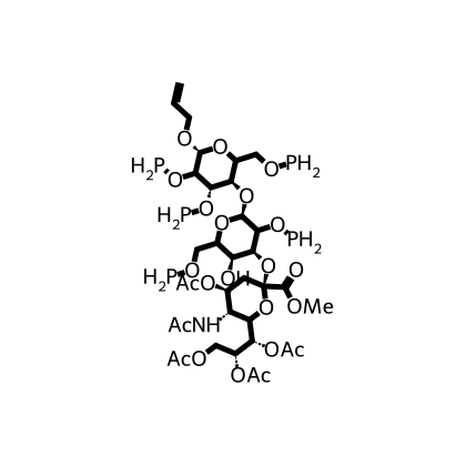 C=CCO[C@@H]1OC(COP)[C@@H](O[C@@H]2OC(COP)[C@H](O)[C@H](O[C@]3(C(=O)OC)C[C@H](OC(C)=O)[C@@H](NC(C)=O)C([C@H](OC(C)=O)[C@@H](COC(C)=O)OC(C)=O)O3)C2OP)[C@H](OP)C1OP